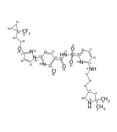 CC1(C)CC(CCCNc2cccc(S(=O)(=O)NC(=O)c3ccc(-n4ccc(OCCC5(C(F)(F)F)CC5)n4)nc3Cl)n2)CN1